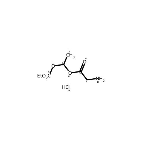 CCOC(=O)OC(C)OC(=O)CN.Cl